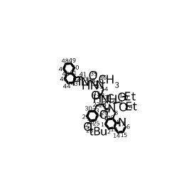 CCOC(OCC)C(C)N(Cc1cccc2cccnc12)C(=O)C(Cc1ccc(OC(C)(C)C)cc1)NC(=O)CN(C)NC(=O)NCc1cccc2ccccc12